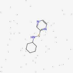 c1cnc(SNC2CCCCC2)cn1